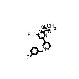 CS(=O)(=O)c1nc(C2=CN(Cc3cccc(Cl)c3)CC=C2)cc(C(F)(F)F)n1